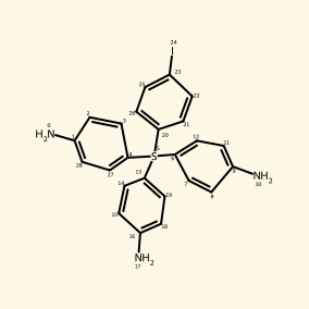 Nc1ccc(S(c2ccc(N)cc2)(c2ccc(N)cc2)c2ccc(I)cc2)cc1